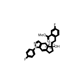 COC(=O)c1cc(F)ccc1CC[C@]1(O)CCC2=Cc3c(cnn3-c3ccc(F)cc3)C[C@@]21C